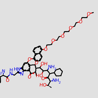 CC[C@@H](C)[C@@H](N)C(=O)NCc1nc2c(C(C)=O)c(C(=O)C(C(C)C)C(O)C(O)C(N)C(C(=O)[C@@H](N)[C@@H](C)O)C3CCCCC3)c(Oc3cccc4c(OCCOCCOCCOCCOCCOC)cccc34)cc2[nH]1